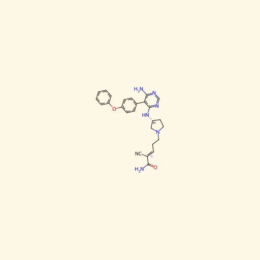 N#C/C(=C\CCN1CC[C@@H](Nc2ncnc(N)c2-c2ccc(Oc3ccccc3)cc2)C1)C(N)=O